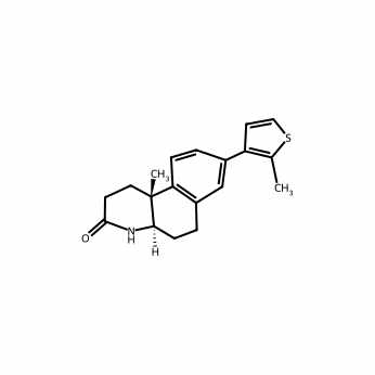 Cc1sccc1-c1ccc2c(c1)CC[C@H]1NC(=O)CC[C@]21C